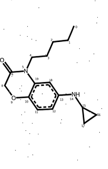 CCCCCN1C(=O)COc2ccc(NC3CC3)cc21